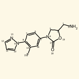 NCC1CN(c2ccc(-n3cccn3)c(F)c2)C(=O)O1